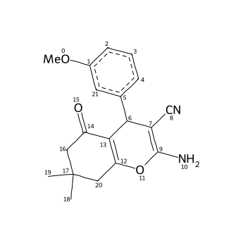 COc1cccc(C2C(C#N)=C(N)OC3=C2C(=O)CC(C)(C)C3)c1